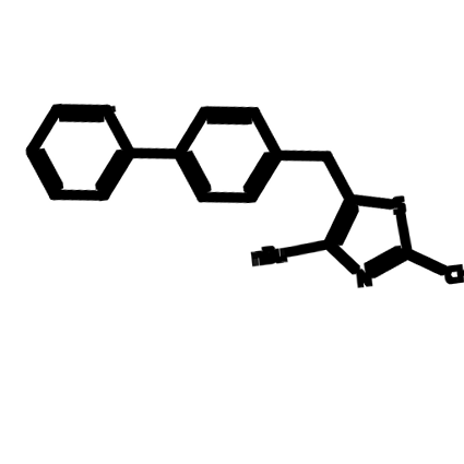 CCCCc1nc(C)sc1Cc1ccc(-c2[c]cccc2)cc1